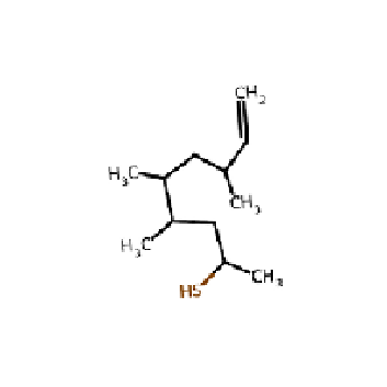 C=CC(C)CC(C)C(C)CC(C)S